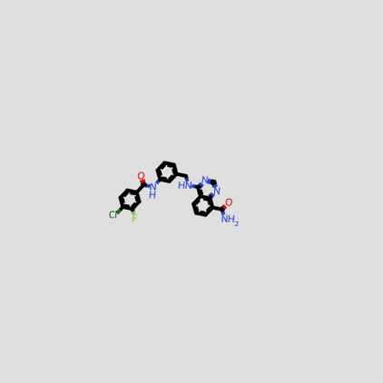 NC(=O)c1cccc2c(NCc3cccc(NC(=O)c4ccc(Cl)c(F)c4)c3)ncnc12